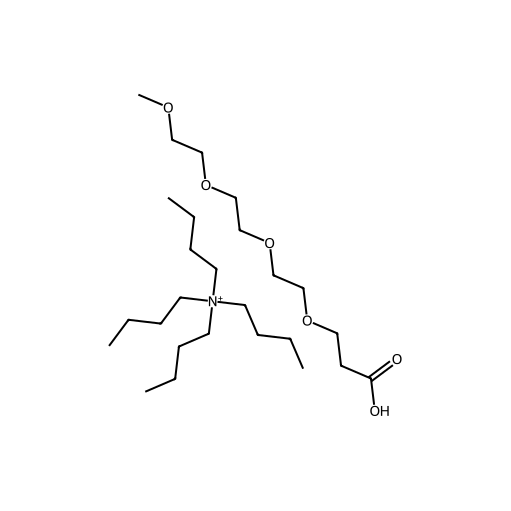 CCCC[N+](CCCC)(CCCC)CCCC.COCCOCCOCCOCCC(=O)O